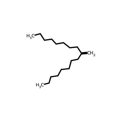 C=C(CCCCCCCC)CCCCCCCC